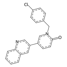 O=c1ccc(-c2cnc3ccccc3c2)cn1Cc1ccc(Cl)cc1